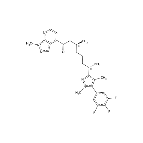 Cc1c([C@@H](N)CCC[C@H](C)CC(=O)c2ccnc3c2cnn3C)nn(C)c1-c1cc(F)c(F)c(F)c1